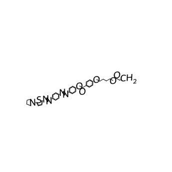 C=CC(=O)OCCCCOc1ccc(C(=O)Oc2ccc(N=Nc3ccc(N=Nc4ccc(N5CCCC5)s4)cc3)cc2)cc1